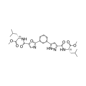 COC(=O)[C@H](CC(C)C)NC(=O)c1cc(-c2cccc(-c3ncc(C(=O)N[C@@H](CC(C)C)C(=O)OC)o3)c2)[nH]n1